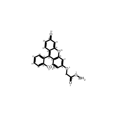 BOC(=O)COc1ccc2c(-c3ccccc3C(=O)OCC)c3ccc(=O)cc-3oc2c1